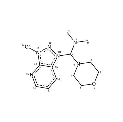 CN(C)C(N1CCOCC1)n1n[n+]([O-])c2ncccc21